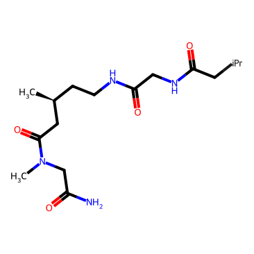 CC(C)CC(=O)NCC(=O)NCC[C@H](C)CC(=O)N(C)CC(N)=O